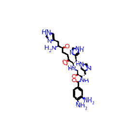 Nc1ccc(C(=O)N[C@@H](Cc2c[nH]cn2)C(=O)CN[C@@H](Cc2c[nH]cn2)C(=O)CCC(=O)[C@@H](N)Cc2c[nH]cn2)cc1N